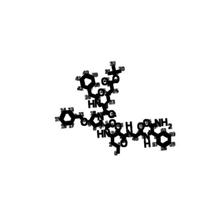 CCCC(NC(=O)[C@@H]1C[C@@H](OCc2ccccc2)CN1C(=O)[C@H](CCCC(=O)OC(C)(C)C)NC(=O)Cc1ccccc1)C(=O)C(=O)NCC(=O)N[C@H](C(N)=O)c1ccccc1